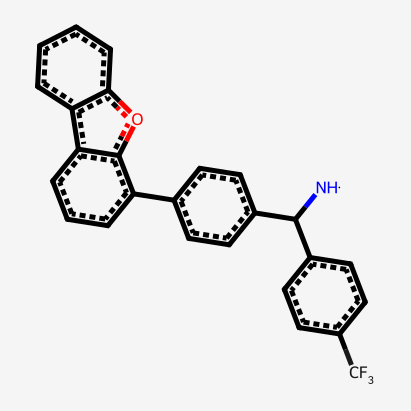 [NH]C(c1ccc(-c2cccc3c2oc2ccccc23)cc1)c1ccc(C(F)(F)F)cc1